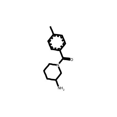 Cc1ccc(C(=O)N2CCCC(N)C2)cc1